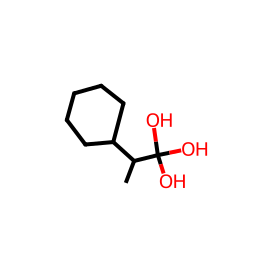 CC(C1CCCCC1)C(O)(O)O